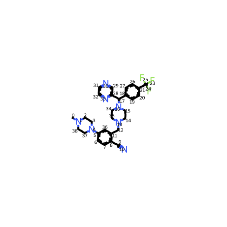 CN1CCN(c2ccc(C#N)c(CN3CCN(C(c4ccc(C(F)(F)F)cc4)c4cnccn4)CC3)c2)CC1